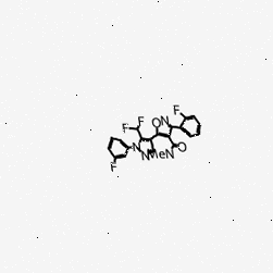 CNC(=O)c1c(-c2ccccc2F)noc1-c1cnn(-c2cccc(F)c2)c1C(F)F